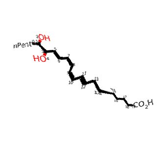 CCCCCC(O)C(O)/C=C/C=C\C=C/C=C/CCCCCCC(=O)O